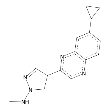 CNN1CC(c2cnc3ccc(C4CC4)cc3n2)C=N1